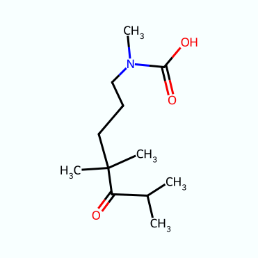 CC(C)C(=O)C(C)(C)CCCN(C)C(=O)O